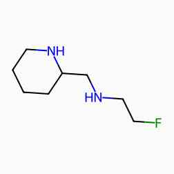 FCCNCC1CCCCN1